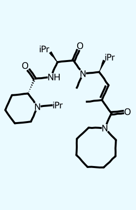 C/C(=C\[C@H](C(C)C)N(C)C(=O)[C@@H](NC(=O)[C@H]1CCCCN1C(C)C)C(C)C)C(=O)N1CCCCCCC1